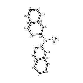 FC(F)(F)[S+](c1ccc2ccccc2c1)c1ccc2ccccc2c1